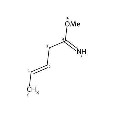 CC=CCC(=N)OC